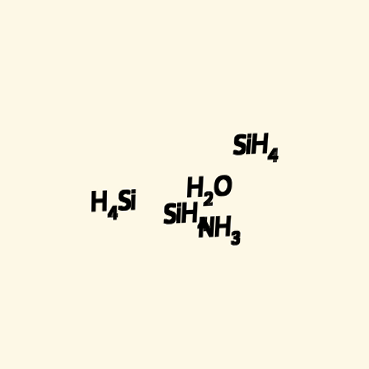 N.O.[SiH4].[SiH4].[SiH4]